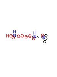 O=C(CO)NCCOCCOCCOCCOCCC(=O)NCCCCCC(=O)N1Cc2ccccc2/C=C\c2ccccc21